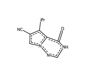 CC(C)c1c(C#N)cn2nc[nH]c(=O)c12